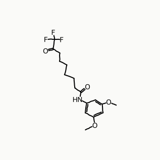 COc1cc(NC(=O)CCCCCCC(=O)C(F)(F)F)cc(OC)c1